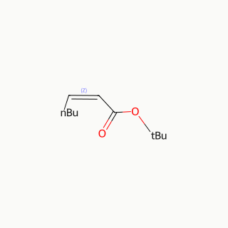 CCCC/C=C\C(=O)OC(C)(C)C